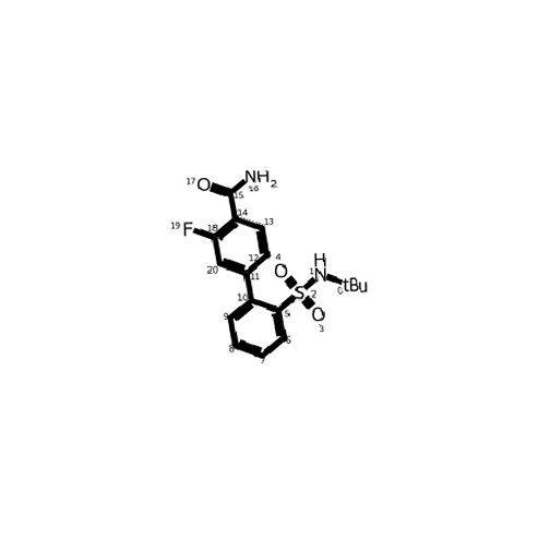 CC(C)(C)NS(=O)(=O)c1ccccc1-c1ccc(C(N)=O)c(F)c1